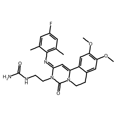 COc1cc2c(cc1OC)-c1cc(=Nc3c(C)cc(F)cc3C)n(CCNC(N)=O)c(=O)n1CC2